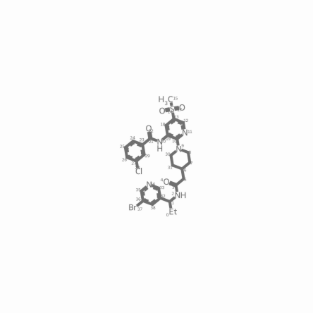 CCC(NC(=O)CC1CCN(c2ncc(S(C)(=O)=O)cc2NC(=O)c2cccc(Cl)c2)CC1)c1cncc(Br)c1